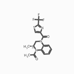 CC(=O)N1c2ccccc2N(C(=O)c2csc(C(F)(F)F)n2)C[C@@H]1C